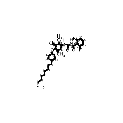 CCCCCCCCCc1ccc(Oc2c(C)cc(NC(=O)NC(=O)c3c(F)cccc3F)c(C)c2Cl)cc1